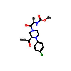 COC(=O)[C@H]1CN(C(=O)[C@@H](NC(=O)OC(C)(C)C)C(C)C)CCN1c1ccc(Cl)cc1